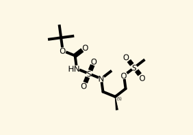 C[C@H](COS(C)(=O)=O)CN(C)S(=O)(=O)NC(=O)OC(C)(C)C